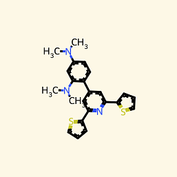 CN(C)c1ccc(-c2cc(-c3cccs3)nc(-c3cccs3)c2)c(N(C)C)c1